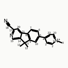 C[n+]1ccc(-c2ccc3c(c2)C(C)(C)c2cnc(C#N)cc2-3)cc1